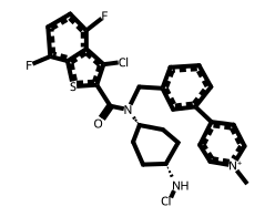 C[n+]1ccc(-c2cccc(CN(C(=O)c3sc4c(F)ccc(F)c4c3Cl)[C@H]3CC[C@@H](NCl)CC3)c2)cc1